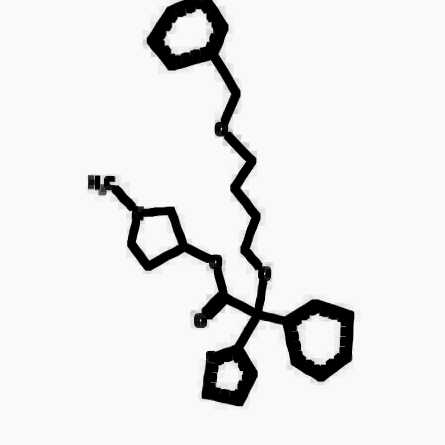 CN1CCC(OC(=O)C(OCCCCOCc2ccccc2)(c2ccccc2)c2cccs2)C1